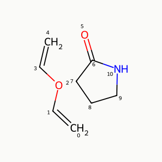 C=COC=C.O=C1CCCN1